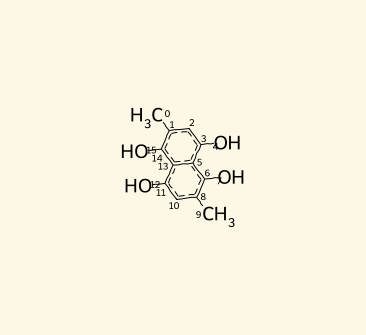 Cc1cc(O)c2c(O)c(C)cc(O)c2c1O